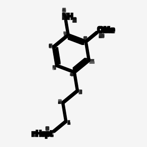 CCCCCCCCCCc1ccc(N)c(OC)c1